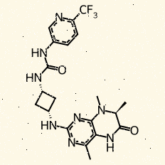 Cc1nc(N[C@H]2C[C@@H](NC(=O)Nc3ccc(C(F)(F)F)nc3)C2)nc2c1NC(=O)[C@H](C)N2C